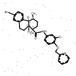 CC(C)c1ccc2c(c1)CC[C@@H]1[C@@H]2[C@@H](C)CC[C@@]1(C)C(=O)Nc1ccc(OCc2ccccn2)c(Cl)c1